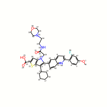 COc1ccc(-c2ccc3cc(-c4c(C5CCCCC5)c5sc(C(=O)O)cc5n4CC(=O)NCCN4CCOCC4)ccc3n2)c(F)c1